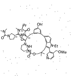 CCn1c(-c2cnccc2COC)c2c3cc(ccc31)-c1cc(O)cc(c1)C[C@H](NC(=O)[C@H](C(C)C)N(C)C(=O)[C@H]1CCN(C(=O)N(C)C)C1)C(=O)N1CCC[C@H](N1)C(=O)OCC(C)(C)C2